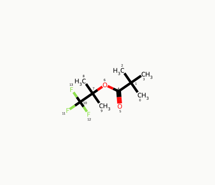 CC(C)(C)C(=O)OC(C)(C)C(F)(F)F